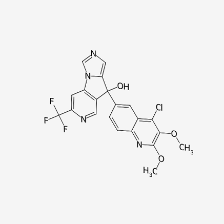 COc1nc2ccc(C3(O)c4cnc(C(F)(F)F)cc4-n4cncc43)cc2c(Cl)c1OC